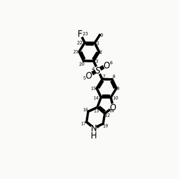 Cc1cc(S(=O)(=O)c2ccc3oc4c(c3c2)CCNC4)ccc1F